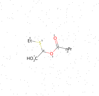 CCCC(=O)OC(SCC)C(=O)O